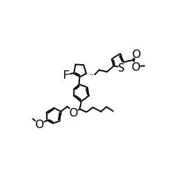 CCCCCC(OCc1ccc(OC)cc1)c1ccc(C2=C(F)CC[C@@H]2CCCc2ccc(C(=O)OC)s2)cc1